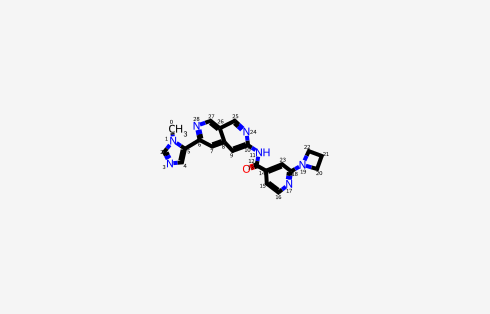 Cn1cncc1-c1cc2cc(NC(=O)c3ccnc(N4CCC4)c3)ncc2cn1